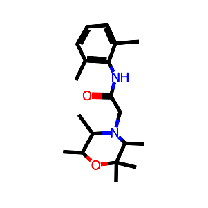 Cc1cccc(C)c1NC(=O)CN1C(C)C(C)OC(C)(C)C1C